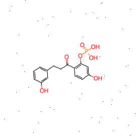 O=C(CCc1cccc(O)c1)c1ccc(O)cc1OP(=O)(O)O